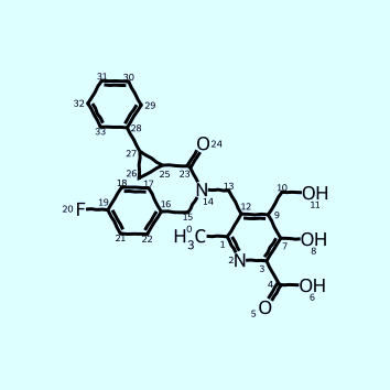 Cc1nc(C(=O)O)c(O)c(CO)c1CN(Cc1ccc(F)cc1)C(=O)C1CC1c1ccccc1